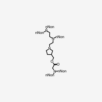 CCCCCCCCCN(CCCCCCCCC)CCN(CCCCCCCCC)CCN1CCC(COC(=O)CN(CCCCCCCCC)CCCCCCCCC)C1